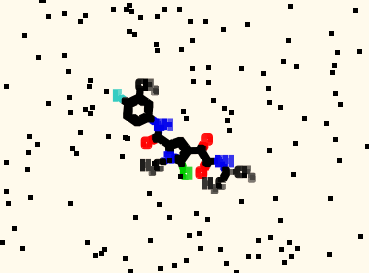 Cc1cc(NC(=O)c2cc(C(=O)C(=O)N[C@@H](C)C(F)(F)F)c(Cl)n2C)ccc1F